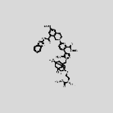 COc1cc2c(c(C(=O)Nc3nc4ccccc4s3)c1)CN(c1ccc(-c3cnn(CC45CC6(C)CC(C)(C4)CC(OCCN(C)C(=O)OC(C)(C)C)(C6)C5)c3C)c(C(=O)OC(C)(C)C)n1)CC2